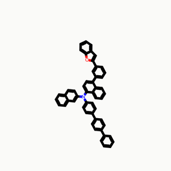 c1ccc(-c2ccc(-c3ccc(N(c4ccc5ccccc5c4)c4ccc(-c5cccc(-c6cc7ccccc7o6)c5)c5ccccc45)cc3)cc2)cc1